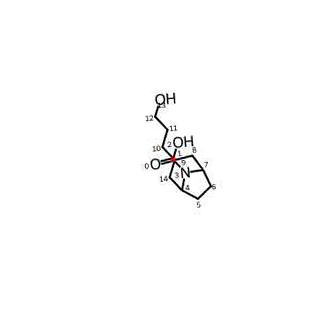 O=C(O)N1C2CCC1CC(CCCO)C2